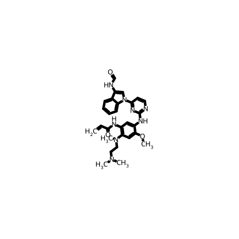 C=CC(=O)Nc1cc(Nc2nccc(-n3cc(NC=O)c4ccccc43)n2)c(OC)cc1N(C)CCN(C)C